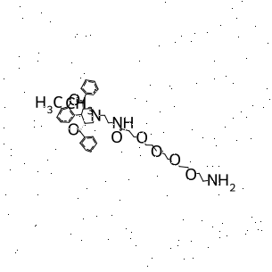 Cc1cccc(C2[C@@H](C(=O)c3ccccc3)CN(CCNC(=O)CCOCCOCCOCCOCCN)C[C@@H]2C(=O)c2ccccc2)c1C